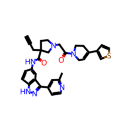 C#CCC1(C(=O)Nc2ccc3[nH]nc(-c4ccnc(C)c4)c3c2)CCN(CC(=O)N2CC=C(c3ccsc3)CC2)C1